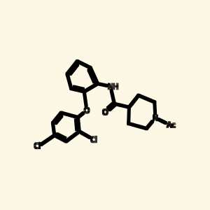 CC(=O)N1CCC(C(=O)Nc2ccccc2Oc2ccc(Cl)cc2Cl)CC1